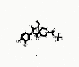 CCN1C(=O)N(c2ccc(Cl)c(Br)c2)C(=O)C12CCN(C(=O)OC(C)(C)C)CC2